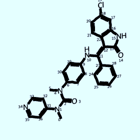 CN(C(=O)N(C)c1ccc(NC(=C2C(=O)Nc3cc(Cl)ccc32)c2ccccc2)cc1)c1ccncc1